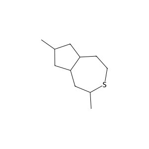 CC1CC2CCSC(C)CC2C1